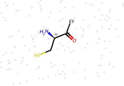 C[CH]C(=O)[C@H](N)CS